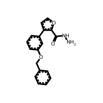 NNC(=O)c1occc1-c1cccc(OCc2ccccc2)c1